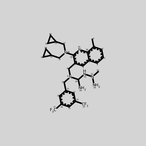 Cc1cccc2cc(CN(Cc3cc(C(F)(F)F)cc(C(F)(F)F)c3)C(N)NN(C)N)c(N(CC3CC3)CC3CC3)nc12